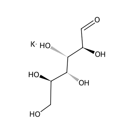 O=C[C@@H](O)[C@@H](O)[C@H](O)[C@H](O)CO.[K]